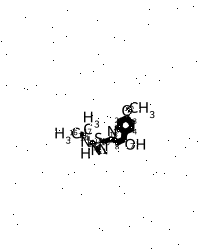 COc1ccc2c(O)cc(-c3nnc(NC(C)C)s3)nc2c1